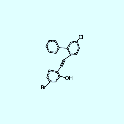 Oc1cc(Br)ccc1C#Cc1ccc(Cl)cc1-c1ccccc1